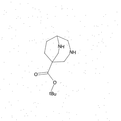 CC(C)(C)OC(=O)C12CCC(CNC1)NC2